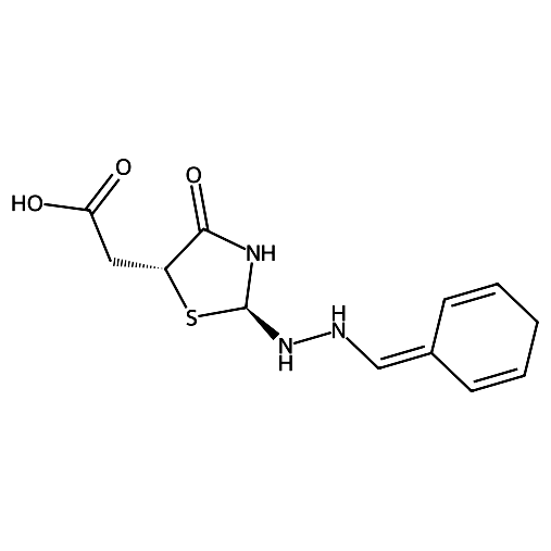 O=C(O)C[C@H]1S[C@H](NNC=C2C=CCC=C2)NC1=O